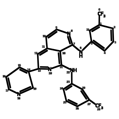 FC(F)(F)c1cccc(Nc2nccc3cc(-c4cccnc4)nc(Nc4cccc(C(F)(F)F)c4)c23)c1